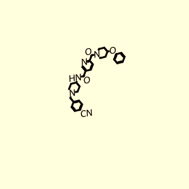 N#Cc1ccc(CN2CCC(NC(=O)c3ccc(C(=O)N4CCC(Oc5ccccc5)CC4)nc3)CC2)cc1